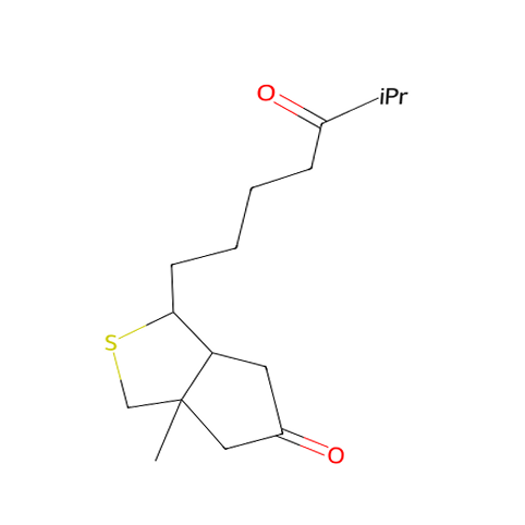 CC(C)C(=O)CCCCC1SCC2(C)CC(=O)CC12